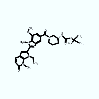 CCn1c(-c2nc3cc(C(=O)N4CCC[C@@H](NC(=O)OC(C)(C)C)C4)cc(OC)c3n2C)cc2ccc(=O)n(C)c21